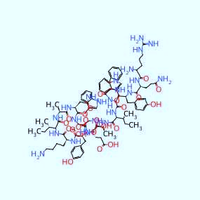 CC[C@H](C)[C@H](NC(=O)[C@H](CCCCN)NC(=O)[C@H](Cc1ccc(O)cc1)NC(=O)[C@H](Cc1c[nH]c2ccccc12)NC(=O)[C@H](C)NC(=O)[C@@H](NC(=O)[C@H](Cc1c[nH]c2ccccc12)NC(=O)[C@H](Cc1ccccc1)NC(=O)[C@H](Cc1ccc(O)cc1)NC(=O)[C@H](CCC(N)=O)NC(=O)[C@@H](N)CCCNC(=N)N)[C@@H](C)CC)C(=O)N[C@@H](C)C(=O)N[C@@H](CC(N)=O)C(=O)N[C@@H](CO)C(=O)N[C@@H](CCC(=O)O)C(=O)O